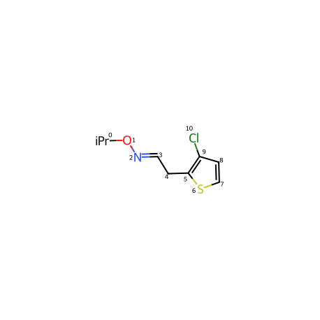 CC(C)ON=CCc1sccc1Cl